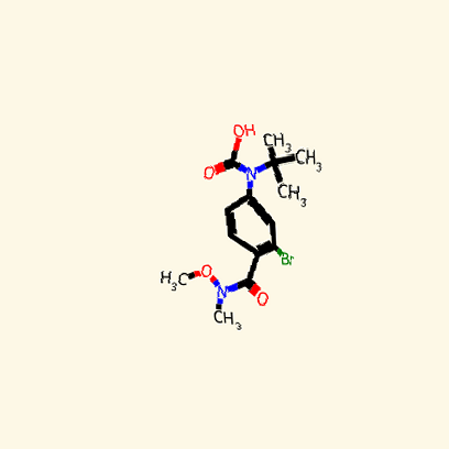 CON(C)C(=O)c1ccc(N(C(=O)O)C(C)(C)C)cc1Br